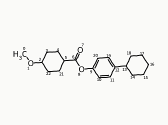 COC1CCC(C(=O)Oc2ccc(C3CCCCC3)cc2)CC1